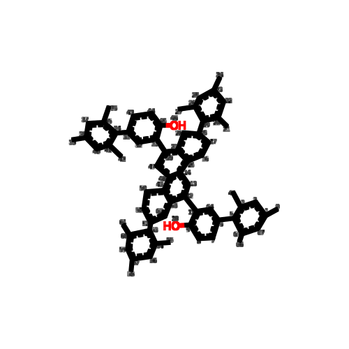 Cc1cc(C)c(-c2ccc(O)c(-c3cc4c5ccc(-c6c(C)cc(C)cc6C)cc5c(-c5cc(-c6c(C)cc(C)cc6C)ccc5O)cc4c4ccc(-c5c(C)cc(C)cc5C)cc34)c2)c(C)c1